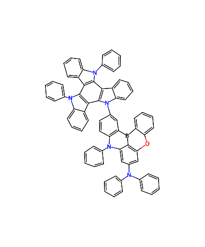 c1ccc(N(c2ccccc2)c2cc3c4c(c2)N(c2ccccc2)c2ccc(-n5c6ccccc6c6c7c(c8ccccc8n7-c7ccccc7)c7c(c8ccccc8n7-c7ccccc7)c65)cc2B4c2ccccc2O3)cc1